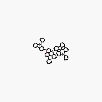 c1ccc(-c2ccccc2-c2ccccc2N(c2ccc(-c3ccc4c5ccccc5n(-c5ccccc5)c4c3)cc2)c2ccc3c(c2)C2(c4ccccc4-3)c3ccccc3N(c3ccccc3)c3ccccc32)cc1